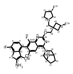 N#Cc1c(N)sc2c(F)ccc(-c3c(Cl)cc4c(N5CC6CCC(C5)N6)nc(OC[C@]5(CN6CC[C@@H](F)C6)C[C@H](F)C5)nc4c3F)c12